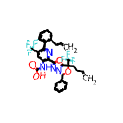 C=CCCC(OCc1ccccc1)(c1nnc(-c2nc(-c3ccccc3CC=C)c(C(F)(F)F)cc2NC(=O)O)o1)C(F)(F)F